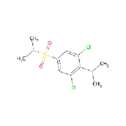 CC(C)c1c(Cl)cc(S(=O)(=O)C(C)C)cc1Cl